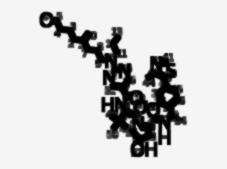 C=C(CCCC=O)CCCN(CCC)c1ncc(C(=O)N[C@H](C(=O)N2C[C@H](O)C[C@H]2C(=O)N[C@@H](C)c2ccc(-c3scnc3C)cc2)C(C)(C)C)cn1